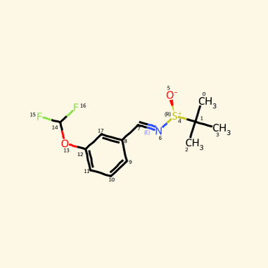 CC(C)(C)[S@+]([O-])/N=C/c1cccc(OC(F)F)c1